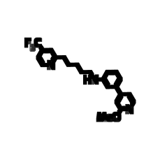 COc1cc(-c2cccc(NCCCCCc3cc(C(F)(F)F)ccn3)c2)ccn1